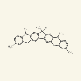 Cc1ccc2c(c1)Cc1cc3c(cc1N2C)C(C)(C)c1cc2c(cc1-3)Cc1cc(C)ccc1N2C